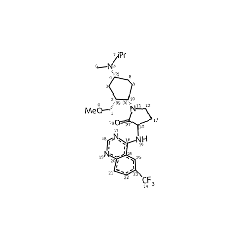 COC[C@@H]1C[C@H](N(C)C(C)C)CC[C@@H]1N1CCC(Nc2ncnc3ccc(C(F)(F)F)cc23)C1=O